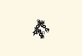 Cc1cc(-n2nc3c(c2-n2ccn(-c4ccc5c(cnn5C)c4Cl)c2=O)CN(C(=O)c2cc4cc(C5CCOC(C)(C)C5)ccc4n2[C@@]2(c4noc(=O)[nH]4)C[C@@H]2C)CC3)cc(C)c1F